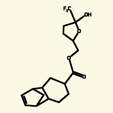 O=C(OCC1CCC(O)(C(F)(F)F)O1)C1CCC2C3C=CC(C3)C2C1